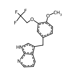 COc1ccc(Cc2c[nH]c3ncccc23)cc1OCC(F)(F)F